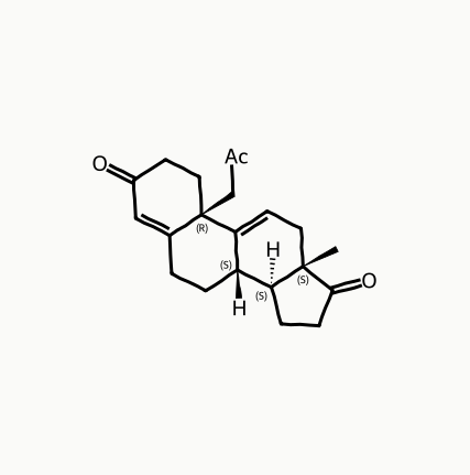 CC(=O)C[C@]12CCC(=O)C=C1CC[C@@H]1C2=CC[C@]2(C)C(=O)CC[C@@H]12